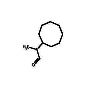 CN([C]=O)C1CCCCCCC1